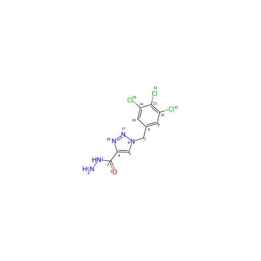 NNC(=O)c1cn(Cc2cc(Cl)c(Cl)c(Cl)c2)nn1